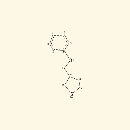 [c]1cccc(OCC2CCSC2)c1